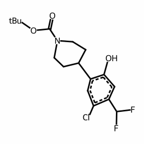 CC(C)(C)OC(=O)N1CCC(c2cc(Cl)c(C(F)F)cc2O)CC1